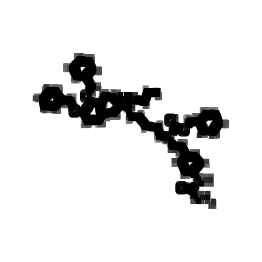 CCCN[C@@H](CCCCCN(CCc1ccc(NC(N)=O)cc1)C(=O)OCc1ccccc1)C1CCc2c(ccc(OCc3ccccc3)c2OCc2ccccc2)C1